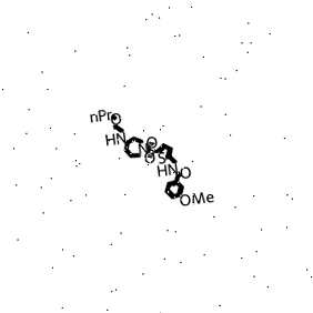 CCCOCCNC1CCCN(S(=O)(=O)c2ccc(CNC(=O)c3cccc(OC)c3)s2)CC1